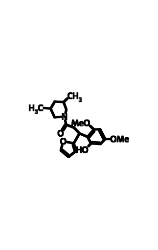 COc1cc(O)c(C(CC(=O)N2CC(C)CC(C)C2)c2ccco2)c(OC)c1